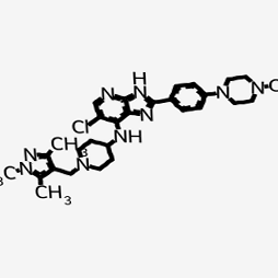 Cc1nn(C)c(C)c1CN1CCC(Nc2c(Cl)cnc3[nH]c(-c4ccc(N5CCN(C)CC5)cc4)nc23)CC1